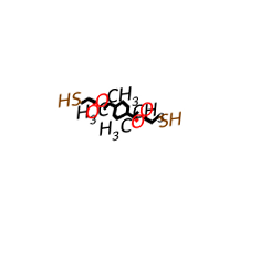 CC(C)(OC(=O)CCS)C1CCC(C(C)(C)OC(=O)CCS)CC1